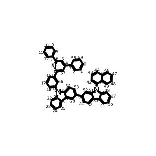 c1ccc(-c2cc(-c3ccccc3)nc(-c3cccc(-n4c5ccccc5c5cc(-c6ccc7c8ccccc8n(-c8cccc9ccccc89)c7c6)ccc54)c3)c2)cc1